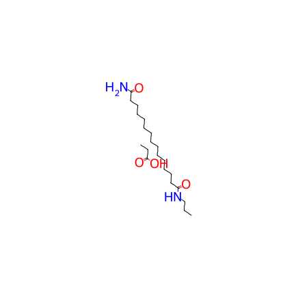 CCC(=O)O.CCCNC(=O)CCCCCCCCCCCCCC(N)=O